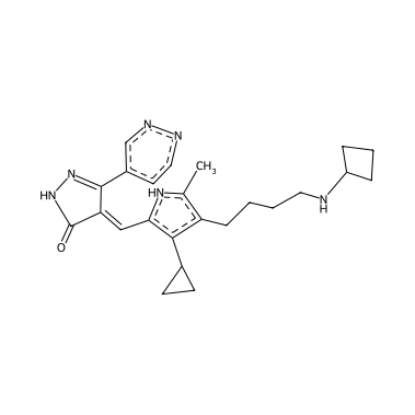 Cc1[nH]c(/C=C2/C(=O)NN=C2c2ccnnc2)c(C2CC2)c1CCCCNC1CCC1